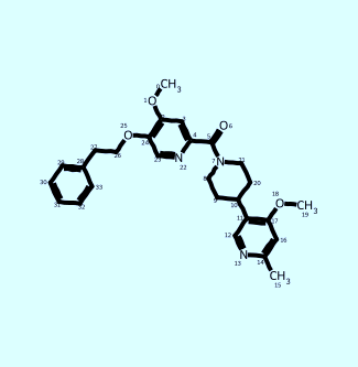 COc1cc(C(=O)N2CCC(c3cnc(C)cc3OC)CC2)ncc1OCCc1ccccc1